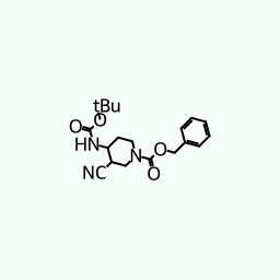 CC(C)(C)OC(=O)NC1CCN(C(=O)OCc2ccccc2)CC1C#N